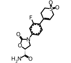 NC(=O)[C@H]1CN(c2ccc(C3=CCS(=O)(=O)CC3)c(F)c2)C(=O)O1